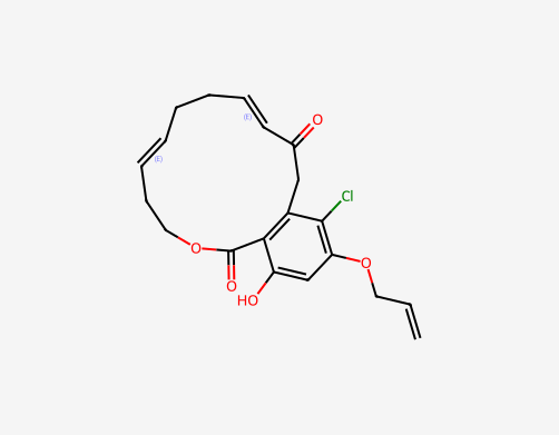 C=CCOc1cc(O)c2c(c1Cl)CC(=O)/C=C/CC/C=C/CCOC2=O